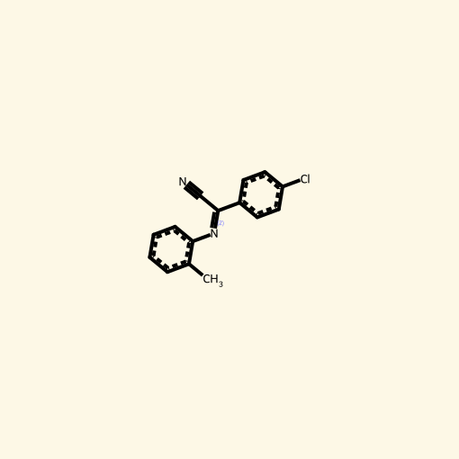 Cc1ccccc1/N=C(\C#N)c1ccc(Cl)cc1